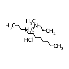 C=CCN(C)C.CCCCCCCCCCCC.Cl